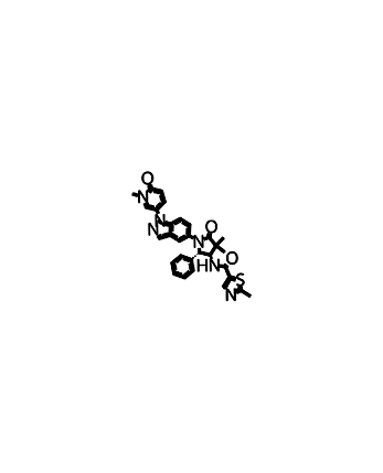 Cc1ncc(C(=O)N[C@H]2[C@H](c3ccccc3)N(c3ccc4c(cnn4-c4ccc(=O)n(C)c4)c3)C(=O)C2(C)C)s1